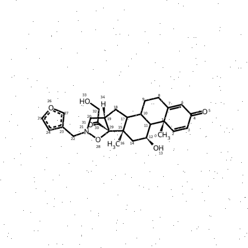 C[C@]12C=CC(=O)C=C1CCC1C2[C@@H](O)C[C@@]2(C)C1C[C@H]1CN(Cc3ccoc3)O[C@]12C(=O)CO